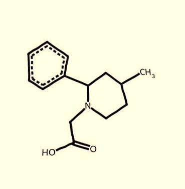 CC1CCN(CC(=O)O)C(c2ccccc2)C1